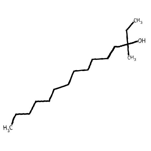 CCCCCCCCCCCCC(C)(O)CC